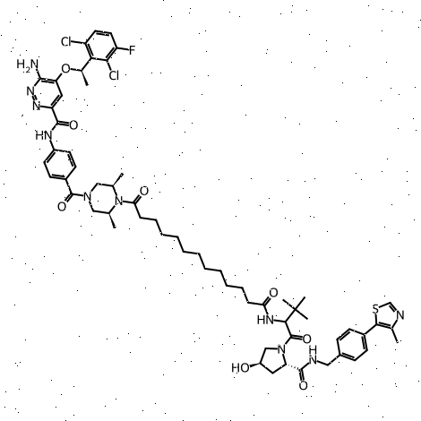 Cc1ncsc1-c1ccc(CNC(=O)[C@@H]2C[C@@H](O)CN2C(=O)C(NC(=O)CCCCCCCCCCCC(=O)N2[C@H](C)CN(C(=O)c3ccc(NC(=O)c4cc(O[C@H](C)c5c(Cl)ccc(F)c5Cl)c(N)nn4)cc3)C[C@@H]2C)C(C)(C)C)cc1